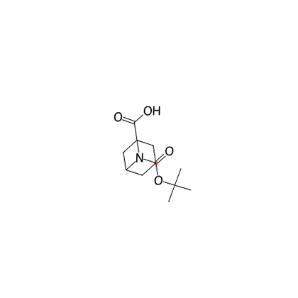 CC(C)(C)OC(=O)N1C2CCCC1(C(=O)O)C2